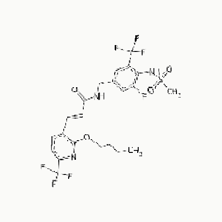 CCCCOc1nc(C(F)(F)F)ccc1/C=C/C(=O)NCc1cc(F)c(NS(C)(=O)=O)c(C(F)(F)F)c1